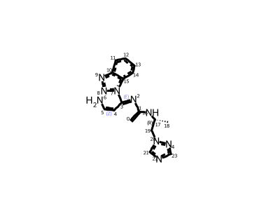 C=C(/N=C(\C=C/N)n1nnc2ccccc21)N[C@H](C)Cn1cncn1